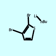 Brc1ccsc1Br.[Li][CH2]CCC